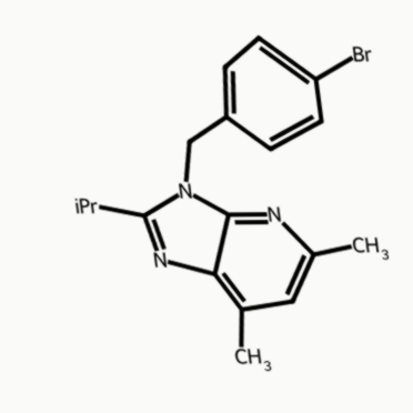 Cc1cc(C)c2nc(C(C)C)n(Cc3ccc(Br)cc3)c2n1